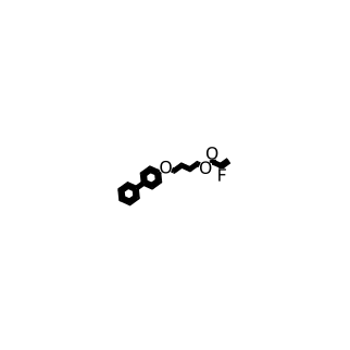 C=C(F)C(=O)OCCCCOc1ccc(-c2ccccc2)cc1